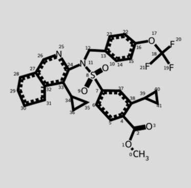 COC(=O)c1ccc(S(=O)(=O)N(Cc2ccc(OC(F)(F)F)cc2)c2ncc3ccccc3c2C2CC2)cc1C1CC1